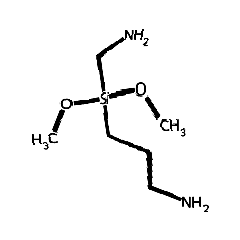 CO[Si](CN)(CCCN)OC